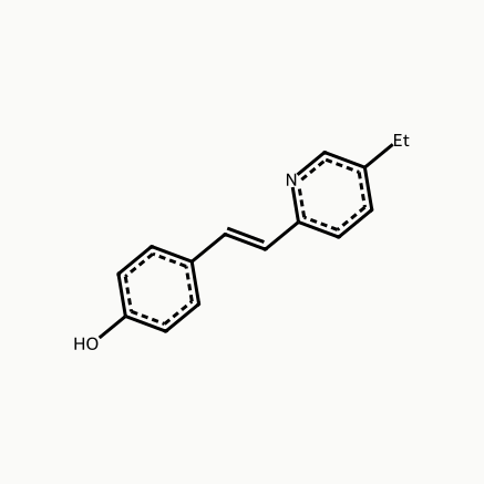 CCc1ccc(C=Cc2ccc(O)cc2)nc1